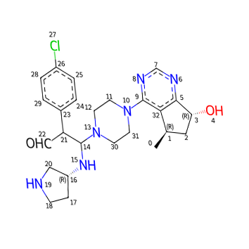 C[C@@H]1C[C@@H](O)c2ncnc(N3CCN(C(N[C@@H]4CCNC4)C(C=O)c4ccc(Cl)cc4)CC3)c21